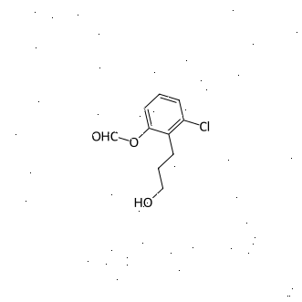 O=COc1cccc(Cl)c1CCCO